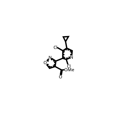 COC(=O)c1conc1-c1c(Cl)ncc(C2CC2)c1Cl